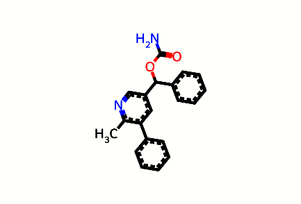 Cc1ncc(C(OC(N)=O)c2ccccc2)cc1-c1ccccc1